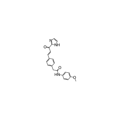 COc1ccc(NC(=O)Cc2ccc(C=CC(=O)c3ncc[nH]3)cc2)cc1